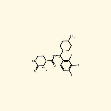 C[C@@H]1C(=O)NCCN1C(=O)N[C@H](c1ccc(F)c(Cl)c1F)[C@H]1CC[C@H](C(F)(F)F)CC1